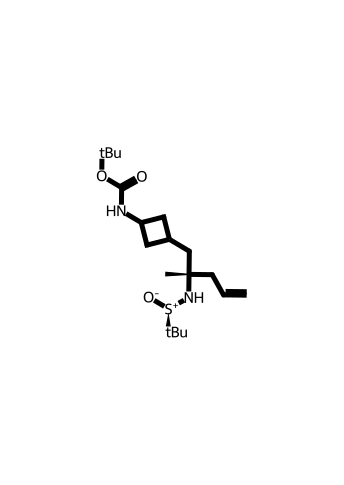 C=CC[C@@](C)(CC1CC(NC(=O)OC(C)(C)C)C1)N[S@+]([O-])C(C)(C)C